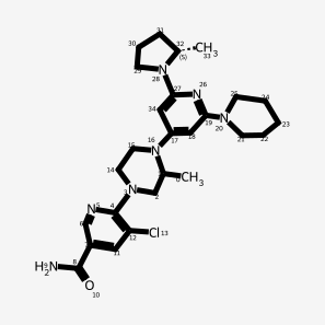 CC1CN(c2ncc(C(N)=O)cc2Cl)CCN1c1cc(N2CCCCC2)nc(N2CCC[C@@H]2C)c1